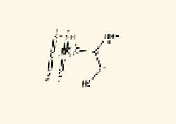 CC(=O)NC(CS)C(=O)O.N=C=S.N=C=S